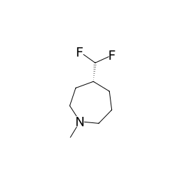 CN1CCC[C@@H](C(F)F)CC1